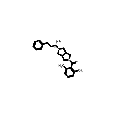 Cc1cccc(C)c1C(=O)N1CC2CN([C@@H](C)CCc3ccccc3)CC2C1